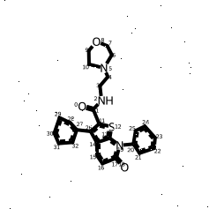 O=C(NCCN1CCOCC1)c1sc2c(ccc(=O)n2-c2ccccc2)c1-c1ccccc1